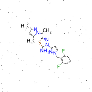 Cc1cc(C)n(C(C)C2=NN(c3ccn(Cc4c(F)cccc4F)n3)C(N)S2)n1